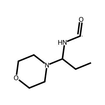 CCC(N[C]=O)N1CCOCC1